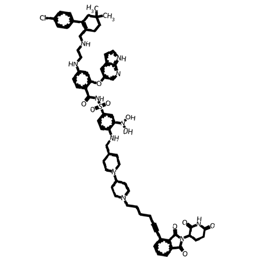 CC1(C)CCC(CNCCNc2ccc(C(=O)NS(=O)(=O)c3ccc(NCC4CCN(C5CCN(CCCCC#Cc6cccc7c6C(=O)N(C6CCC(=O)NC6=O)C7=O)CC5)CC4)c(N(O)O)c3)c(Oc3cnc4[nH]ccc4c3)c2)=C(c2ccc(Cl)cc2)C1